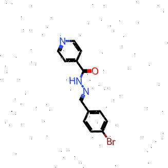 O=C(N/N=C/c1ccc(Br)cc1)c1ccncc1